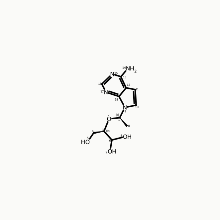 C[C@@H](O[C@H](CO)C(O)O)n1ccc2c(N)ncnc21